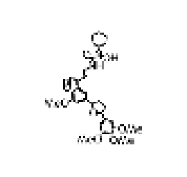 CCCOc1c(C/C=C/NC(=O)N(O)C2CCCCC2)cc(C2CCC(c3cc(OC)c(OC)c(OC)c3)O2)cc1OC